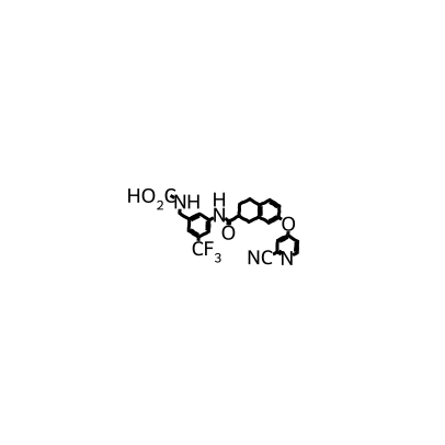 N#Cc1cc(Oc2ccc3c(c2)CC(C(=O)Nc2cc(CNC(=O)O)cc(C(F)(F)F)c2)CC3)ccn1